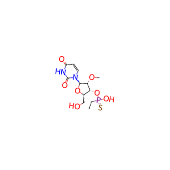 CCP(O)(=S)O[C@H]1[C@@H](OC)[C@H](n2ccc(=O)[nH]c2=O)O[C@@H]1CO